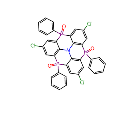 O=P1(c2ccccc2)c2cc(Cl)cc3c2N2c4c1cc(Cl)cc4P(=O)(c1ccccc1)c1cc(Cl)cc(c12)P3(=O)c1ccccc1